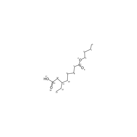 CCCCOC(=O)CCCCC(CC)CC(=O)O